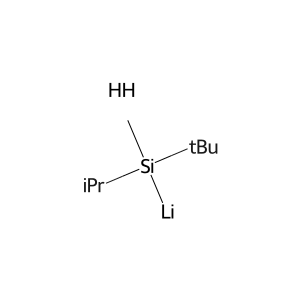 [HH].[Li][Si](C)(C(C)C)C(C)(C)C